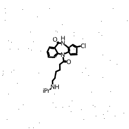 CC(C)NCCCCCC(=O)N1c2ccc(Cl)cc2NC(=O)c2ccccc21